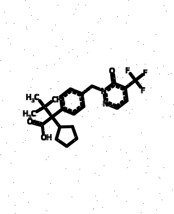 CC(C)(C)C(C(=O)O)(c1ccc(Cn2nccc(C(F)(F)F)c2=O)cc1)C1CCCC1